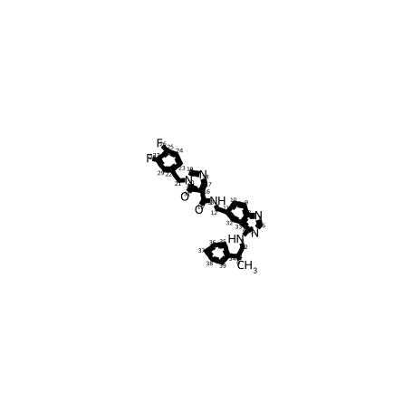 CC(CNc1ncnc2ccc(CNC(=O)c3cncn(Cc4ccc(F)c(F)c4)c3=O)cc12)c1ccccc1